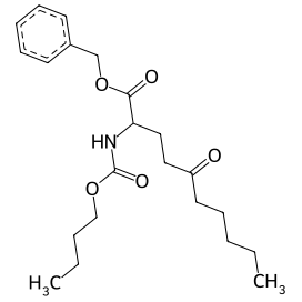 CCCCCC(=O)CCC(NC(=O)OCCCC)C(=O)OCc1ccccc1